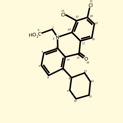 O=C(O)Cn1c2cccc(C3CCCCC3)c2c(=O)c2ccc(Cl)c(Cl)c21